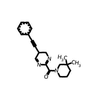 CC1(C)CCCN(C(=O)C2=NCC(C#Cc3ccccc3)C=N2)C1